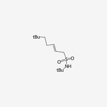 CC(C)(C)CC/C=C/CS(=O)(=O)NC(C)(C)C